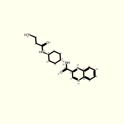 NCCC(=O)N[C@H]1CC[C@H](NC(=O)c2cnc3ccccc3n2)CC1